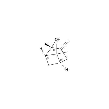 CC1(C)[C@H]2CC(=O)[C@@](C)(O)[C@@H]1C2